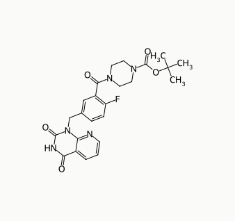 CC(C)(C)OC(=O)N1CCN(C(=O)c2cc(Cn3c(=O)[nH]c(=O)c4cccnc43)ccc2F)CC1